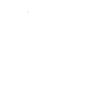 CNc1cccc(-c2cccc(-c3ccc(CN4CC(O)C4)c(OC)n3)c2Cl)c1Cl